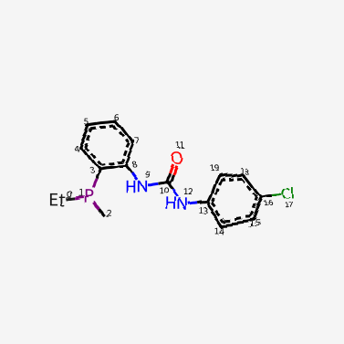 CCP(C)c1ccccc1NC(=O)Nc1ccc(Cl)cc1